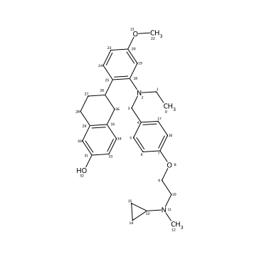 CCN(Cc1ccc(OCCN(C)C2CC2)cc1)c1cc(OC)ccc1C1CCc2cc(O)ccc2C1